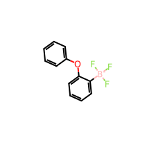 F[B-](F)(F)c1ccccc1Oc1ccccc1